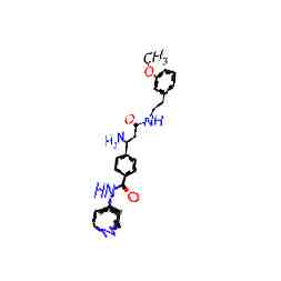 COc1cccc(CCNC(=O)CC(N)c2ccc(C(=O)Nc3ccncc3)cc2)c1